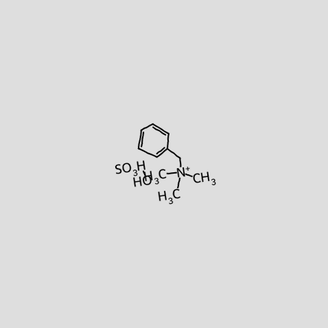 C[N+](C)(C)Cc1ccccc1.O=S(=O)(O)O